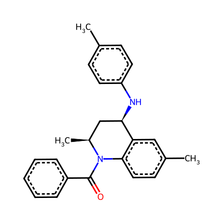 Cc1ccc(N[C@@H]2C[C@H](C)N(C(=O)c3ccccc3)c3ccc(C)cc32)cc1